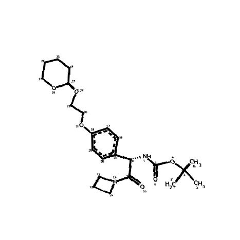 CC(C)(C)OC(=O)N[C@H](C(=O)N1CCC1)c1ccc(OCCOC2CCCCO2)cc1